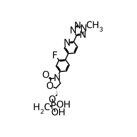 C=P(O)(O)OC[C@H]1CN(c2ccc(-c3ccc(-c4nnn(C)n4)nc3)c(F)c2)C(=O)O1